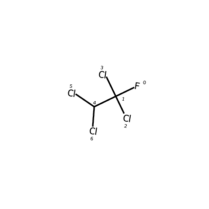 FC(Cl)(Cl)C(Cl)Cl